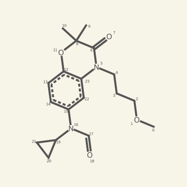 COCCCN1C(=O)C(C)(C)Oc2ccc(N(C=O)C3CC3)cc21